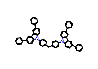 C1=CC2C(C=C1c1ccccc1)c1cc(-c3ccccc3)ccc1N2c1ccc(Cc2ccc(-n3c4ccc(-c5ccccc5)cc4c4cc(-c5ccccc5)ccc43)cc2)cc1